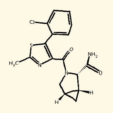 Cc1nc(C(=O)N2C[C@H]3C[C@H]3[C@H]2C(N)=O)c(-c2ccccc2Cl)s1